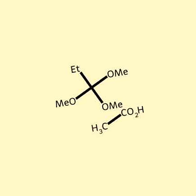 CC(=O)O.CCC(OC)(OC)OC